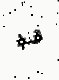 Cc1cccc(NCCc2cc(F)ccc2F)c1